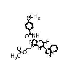 COc1ccc(C(=O)Nc2nn(CCOC(C)=O)c3nc(-c4cnn5ccccc45)c(F)cc23)cc1